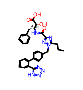 CCCc1nc(C(=O)N[C@H](Cc2ccccc2)[C@@H](O)C(=O)O)nn1Cc1ccc(-c2ccccc2-c2nnn[nH]2)cc1